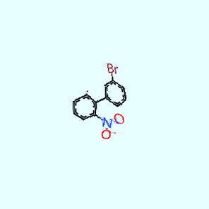 O=[N+]([O-])c1ccc[c]c1-c1cccc(Br)c1